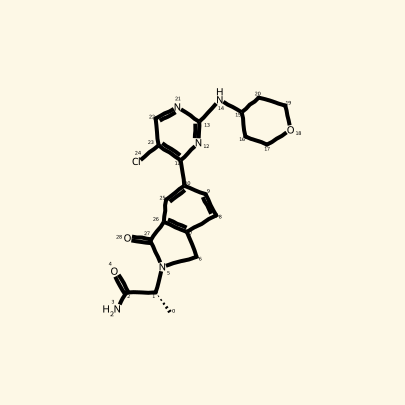 C[C@H](C(N)=O)N1Cc2ccc(-c3nc(NC4CCOCC4)ncc3Cl)cc2C1=O